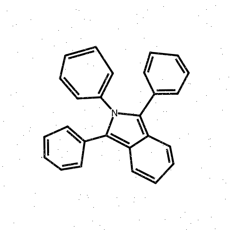 [c]1ccc(-c2c3ccccc3c(-c3ccccc3)n2-c2ccccc2)cc1